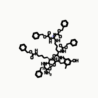 Cc1cc(O)cc(C)c1C[C@H](NC(=O)C(CCCN/C(=N\C(=O)OCc1ccccc1)NC(=O)OCc1ccccc1)NC(=O)OCc1ccccc1)C(=O)N[C@@H](CCCCNC(=O)OCc1ccccc1)C(=O)N[C@@H](Cc1ccccc1)C(N)=O